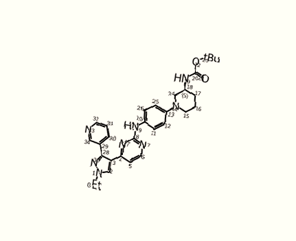 CCn1cc(-c2ccnc(Nc3ccc(N4CCC[C@H](NC(=O)OC(C)(C)C)C4)cc3)n2)c(-c2cccnc2)n1